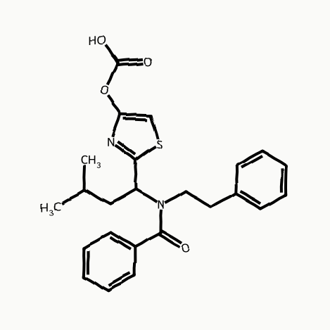 CC(C)CC(c1nc(OC(=O)O)cs1)N(CCc1ccccc1)C(=O)c1ccccc1